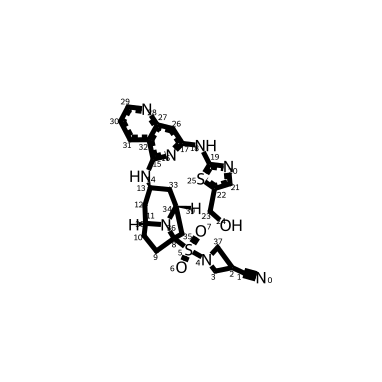 N#CC1CN(S(=O)(=O)C23CC[C@@H]4C[C@@H](Nc5nc(Nc6ncc(CO)s6)cc6ncccc56)C[C@H](C2)N43)C1